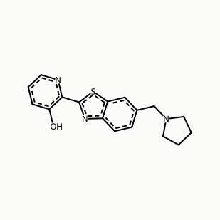 Oc1cccnc1-c1nc2ccc(CN3CCCC3)cc2s1